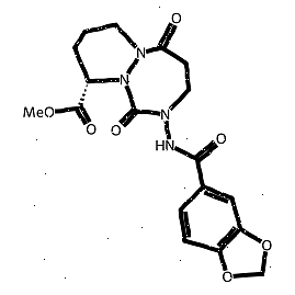 COC(=O)[C@@H]1CCCN2C(=O)CCN(NC(=O)c3ccc4c(c3)OCO4)C(=O)N12